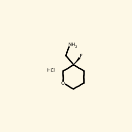 Cl.NC[C@]1(F)CCCOC1